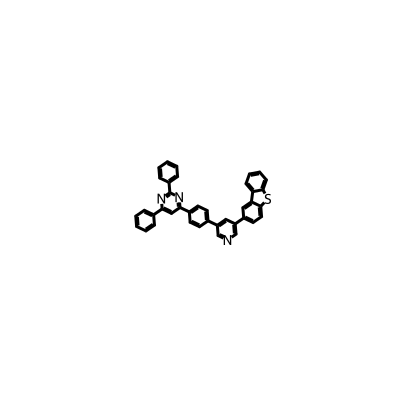 c1ccc(-c2cc(-c3ccc(-c4cncc(-c5ccc6sc7ccccc7c6c5)c4)cc3)nc(-c3ccccc3)n2)cc1